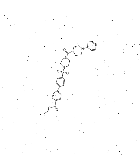 CCOC(=O)c1ccc(-c2ccc(S(=O)(=O)N3CCN(C(=O)C4CCN(c5ccncc5)CC4)CC3)cc2)cc1